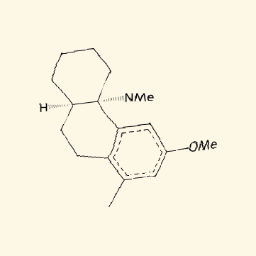 CN[C@@]12CCCC[C@@H]1CCc1c(C)cc(OC)cc12